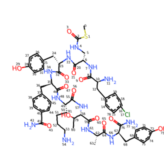 CSC(=O)NC[C@H](NC(=O)[C@@H](N)Cc1ccc(Cl)cc1)C(=O)N[C@@H](Cc1ccc(O)cc1)C(=O)N[C@H](Cc1ccc(C(N)=O)cc1)C(=O)N[C@@H](CCCCN)C(=O)N[C@H](C(=O)N[C@@H](C)C(=O)N[C@H](Cc1ccc(O)cc1)C(N)=O)C(C)O